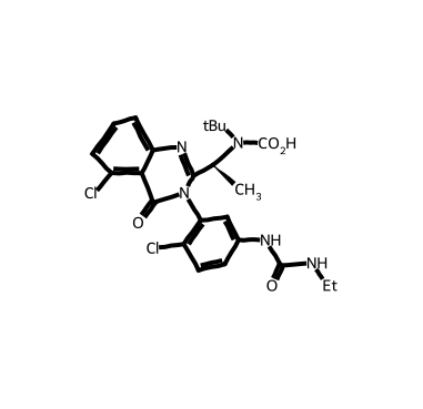 CCNC(=O)Nc1ccc(Cl)c(-n2c([C@H](C)N(C(=O)O)C(C)(C)C)nc3cccc(Cl)c3c2=O)c1